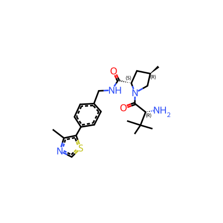 Cc1ncsc1-c1ccc(CNC(=O)[C@@H]2C[C@@H](C)CN2C(=O)[C@H](N)C(C)(C)C)cc1